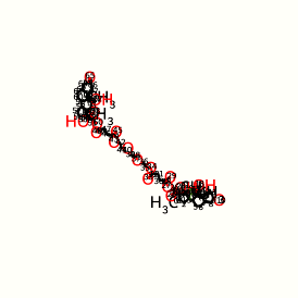 C[C@@H]1CC2C3CCC4=CC(=O)C=C[C@]4(C)[C@@]3(F)[C@@H](O)C[C@]2(C)[C@@]1(O)C(=O)COC(=O)CCC(=O)OCCOCCOCCOC(=O)CCC(=O)OCC(=O)[C@@]1(O)CCC2C3CCC4=CC(=O)C=C[C@]4(C)C3[C@@H](O)C[C@@]21C